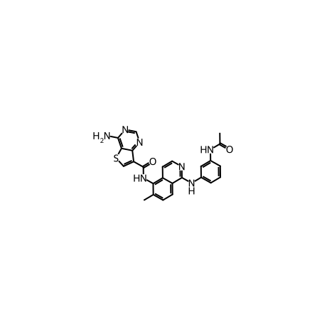 CC(=O)Nc1cccc(Nc2nccc3c(NC(=O)c4csc5c(N)ncnc45)c(C)ccc23)c1